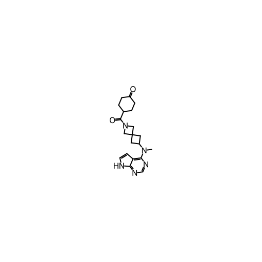 CN(c1ncnc2[nH]ccc12)C1CC2(C1)CN(C(=O)C1CCC(=O)CC1)C2